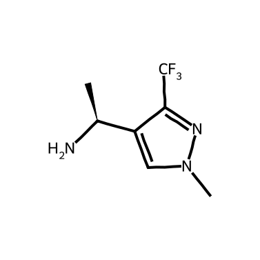 C[C@H](N)c1cn(C)nc1C(F)(F)F